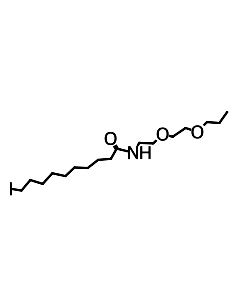 CCCOCCOCCNC(=O)CCCCCCCCCI